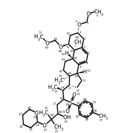 COCO[C@@H]1CC2=CC=C3[C@@H]4CC[C@H]([C@H](C)C(CC(O)C(C)(C)OC5CCCCO5)S(=O)(=O)c5ccc(C)cc5)[C@@]4(C)CC[C@@H]3[C@@]2(C)[C@@H](OCOC)C1